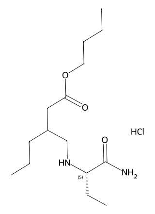 CCCCOC(=O)CC(CCC)CN[C@@H](CC)C(N)=O.Cl